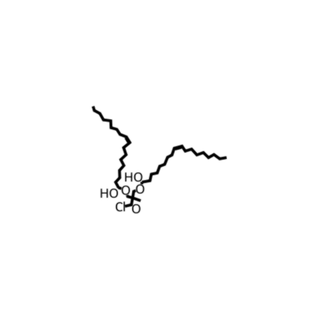 CCCCCCCC/C=C\CCCCCCCC(O)OCC(C)(COC(O)CCCCCCC/C=C\CCCCCCCC)C(=O)Cl